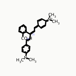 CN(C)c1ccc(/C=C/C(=C/C=C2C=CC(=[N+](C)C)C=C2)c2ccccc2C(=O)O)cc1